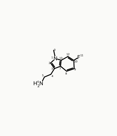 Cn1cc(CCN)c2ccc(F)cc21